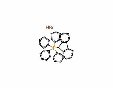 Br.c1ccc(P(c2ccccc2)(c2ccccc2)(c2ccccc2)C2c3ccccc3-c3ccccc32)cc1